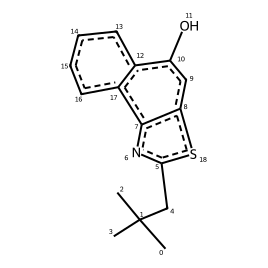 CC(C)(C)Cc1nc2c(cc(O)c3ccccc32)s1